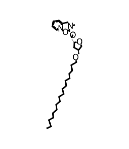 CCCCCCCCCCCCCCCCCCOC[C@@H]1CO[C@@H](COC(=O)N(C)Cc2ccccn2)C1